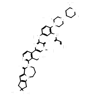 C=CC(=O)Nc1cc(Nc2nc(-c3ccnc(N4CCCn5c(cc6c5CC(C)(C)C6)C4=O)c3CO)cn(C)c2=O)ccc1N1CCN([C@H]2C[C@@H](C)O[C@@H](C)C2)C[C@@H]1C